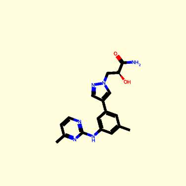 Cc1cc(Nc2nccc(C)n2)cc(-c2cnn(C[C@H](O)C(N)=O)c2)c1